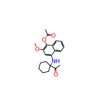 COc1cc(NC2(C(C)=O)CCCCC2)c2ccccc2c1OC(C)=O